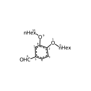 CCCCCCOc1ccc(C=O)cc1OCCCCCC